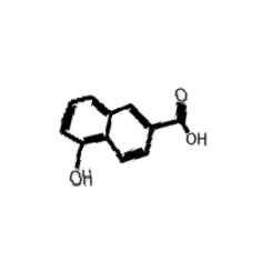 O=C(O)c1ccc2c(O)cccc2c1